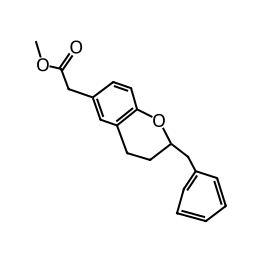 COC(=O)Cc1ccc2c(c1)CCC(Cc1ccccc1)O2